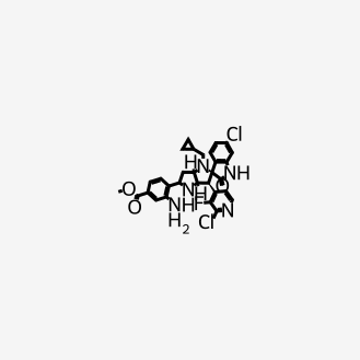 COC(=O)c1ccc(C2C[C@H]3[C@@H](N2)[C@H](c2ccnc(Cl)c2F)[C@]2(C(=O)Nc4cc(Cl)ccc42)N3CC2CC2)c(N)c1